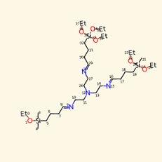 CCO[Si](C)(C)CCC/C=N/CCN(CC/N=C/CCC[Si](C)(OCC)OCC)CC/N=C/CCC[Si](OCC)(OCC)OCC